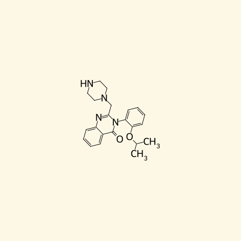 CC(C)Oc1ccccc1-n1c(CN2CCNCC2)nc2ccccc2c1=O